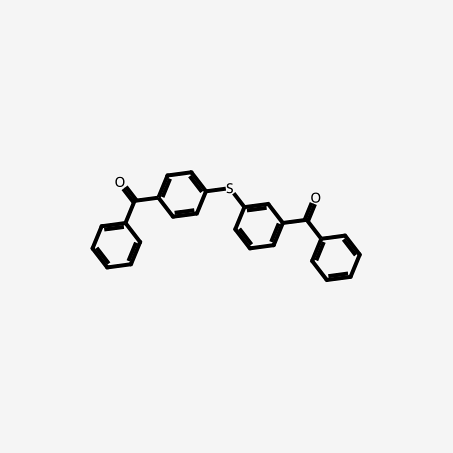 O=C(c1ccccc1)c1ccc(Sc2cccc(C(=O)c3ccccc3)c2)cc1